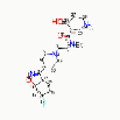 CCN(CCN1CCC(C2=NOC3C=C(F)C=CC23)CC1)C(=O)C1CN(C)CCC1O